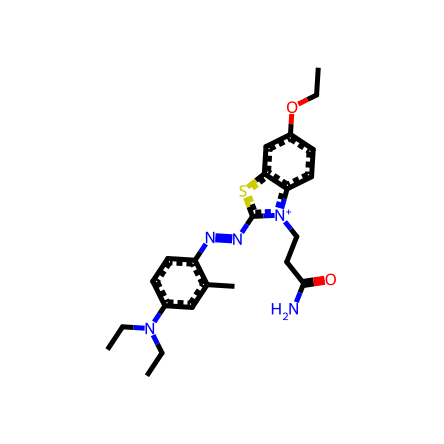 CCOc1ccc2c(c1)sc(N=Nc1ccc(N(CC)CC)cc1C)[n+]2CCC(N)=O